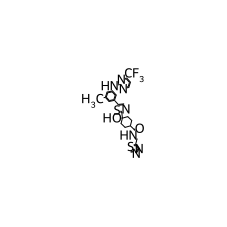 Cc1cc(Nc2nccc(C(F)(F)F)n2)cc(-c2cnc(C3(O)CCC(C(=O)NCc4nncs4)CC3)s2)c1